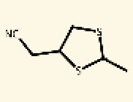 C[C]1SCC(CC#N)S1